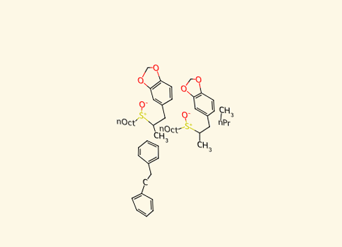 CCCC.CCCCCCCC[S+]([O-])C(C)Cc1ccc2c(c1)OCO2.CCCCCCCC[S+]([O-])C(C)Cc1ccc2c(c1)OCO2.c1ccc(CCc2ccccc2)cc1